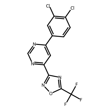 FC(F)(F)c1nc(-c2cc(-c3ccc(Cl)c(Cl)c3)ncn2)no1